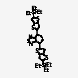 CC[Si](CC)(CC)c1cc2sc(-c3ccc(-c4cc5sc([Si](CC)(CC)CC)cc5s4)c4nsnc34)cc2s1